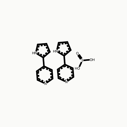 O=S(O)O.c1c[nH]c(-c2ccncc2)c1.c1c[nH]c(-c2ccncc2)c1